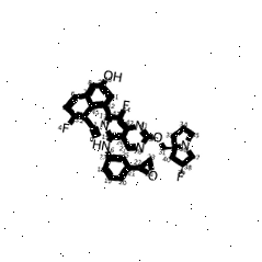 C#Cc1c(F)ccc2cc(O)cc(-c3nc(Nc4cccc(C5CO5)c4)c4cnc(OC[C@@]56CCCN5C[C@H](F)C6)nc4c3F)c12